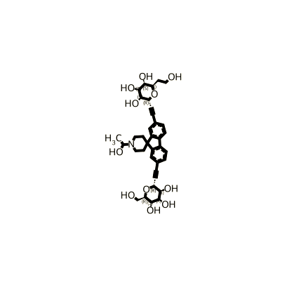 CC(O)N1CCC2(CC1)c1cc(C#C[C@H]3O[C@H](CO)[C@@H](O)[C@H](O)[C@@H]3O)ccc1-c1ccc(C#C[C@H]3O[C@H](CCO)[C@@H](O)[C@H](O)[C@@H]3O)cc12